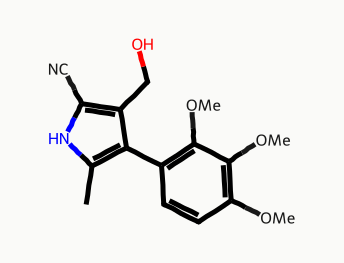 COc1ccc(-c2c(C)[nH]c(C#N)c2CO)c(OC)c1OC